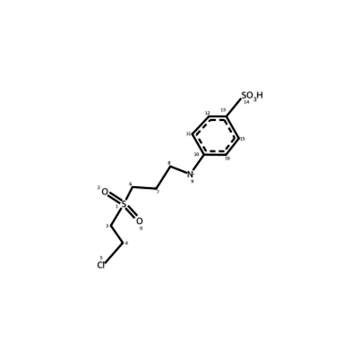 O=S(=O)(CCCl)CCC[N]c1ccc(S(=O)(=O)O)cc1